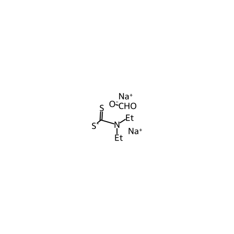 CCN(CC)C(=S)[S-].O=C[O-].[Na+].[Na+]